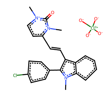 Cn1c(/C=C/c2c(-c3ccc(Cl)cc3)n(C)c3ccccc23)cc[n+](C)c1=O.[O-][Cl+3]([O-])([O-])[O-]